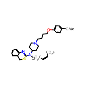 COc1ccc(OCCCCN2CCC(N(C)C3=Nc4ccccc4CS3)CC2)cc1.O=C(O)/C=C\C(=O)O